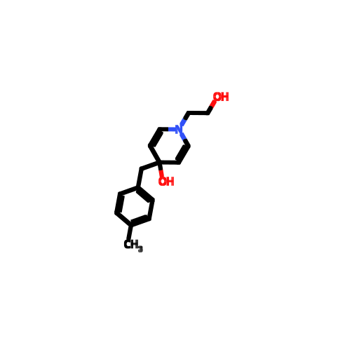 Cc1ccc(CC2(O)C=CN(CCO)C=C2)cc1